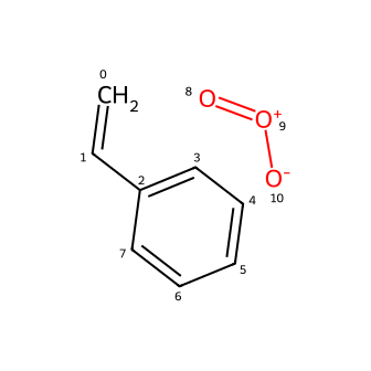 C=Cc1ccccc1.O=[O+][O-]